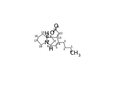 CCCCC1=C[C@@H]2C[C@@]3(OC(=O)C=C13)[C@H]1CCCCN21